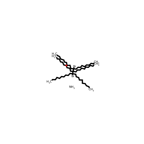 CCCCCCCCCCC(Br)(CCCCCCCCCC)C(CCCCCCCCCC)(CCCCCCCCCC)C(Br)(CCCCCCCCCC)CCCCCCCCCC.N